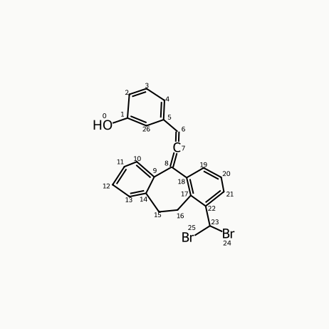 Oc1cccc(C=C=C2c3ccccc3CCc3c2cccc3C(Br)Br)c1